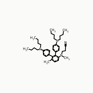 CCCCN(CCCC)c1ccc(-c2c(C)ccc(N(C)CCC#N)c2-c2ccc(N(CCCC)CCCC)cc2)cc1